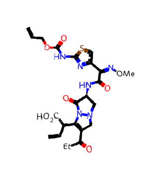 C=CCOC(=O)Nc1nc(/C(=N/OC)C(=O)N[C@H]2CN3CC(C(=O)CC)=C(C(C=C)C(=O)O)N3C2=O)cs1